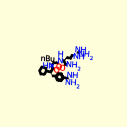 CCCC[C@H](NC(=O)[C@H](Cc1ccc(C(=N)N)cc1)C1CCCCC1)C(=O)N[C@@H](CCCNC(=N)N)C(N)=O